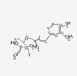 CC(OC(=O)C=Cc1ccc(O)c(O)c1)C(C)(O)C(=O)O